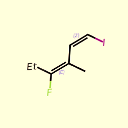 CC/C(F)=C(C)\C=C/I